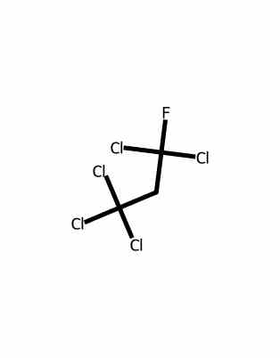 FC(Cl)(Cl)CC(Cl)(Cl)Cl